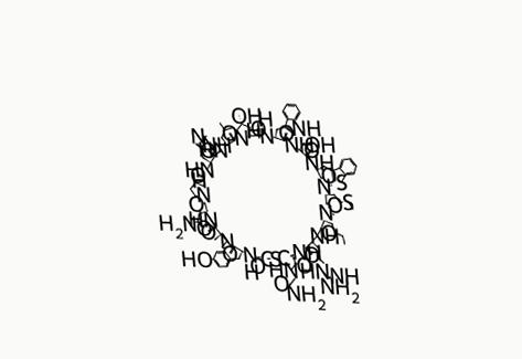 CCCC[C@H]1C(=O)N[C@@H](CCCNC(=N)N)C(=O)NC(C(=O)NCC(N)=O)CSCC(=O)N[C@@H](Cc2ccc(O)cc2)C(=O)N(C)[C@@H](C)C(=O)N[C@@H](CC(N)=O)C(=O)N2CCC[C@H]2C(=O)N[C@@H](Cc2cnc[nH]2)C(=O)N[C@@H](CC(C)C)C(=O)N2C[C@H](O)C[C@H]2C(=O)N[C@@H](Cc2c[nH]c3ccccc23)C(=O)N[C@@H](CO)C(=O)N[C@@H](Cc2csc3ccccc23)C(=O)N(C)[C@@H](CCSC)C(=O)N1C